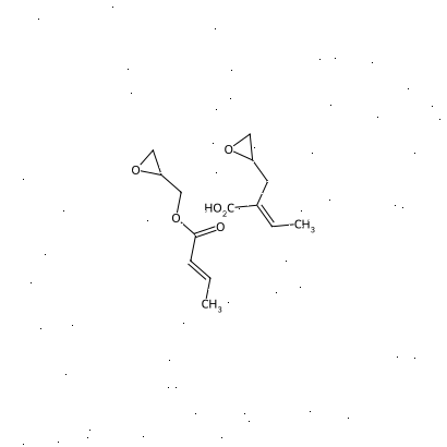 C/C=C(\CC1CO1)C(=O)O.C/C=C/C(=O)OCC1CO1